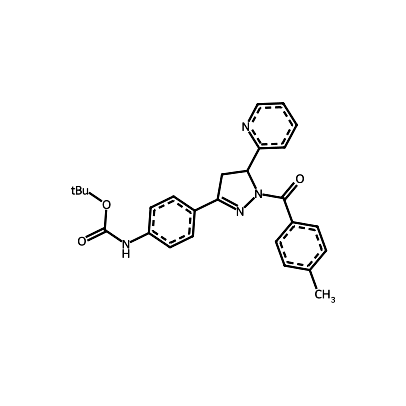 Cc1ccc(C(=O)N2N=C(c3ccc(NC(=O)OC(C)(C)C)cc3)CC2c2ccccn2)cc1